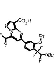 CCCCC(F)C(F)(F)c1ccc(-c2cc(C(F)F)n3ncc(C(=O)O)c3n2)cc1OCC